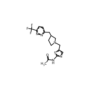 CC(=O)Nc1ncc(CN2CCC(Cc3ccc(C(F)(F)F)nn3)C2)s1